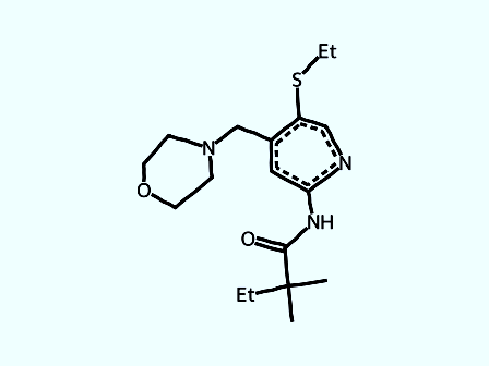 CCSc1cnc(NC(=O)C(C)(C)CC)cc1CN1CCOCC1